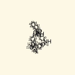 CC(=O)Nc1ccc(O)cc1.CCC(=O)O[C@](Cc1ccccc1)(c1ccccc1)[C@H](C)CN(C)C.O=S(=O)(O)c1ccc2ccccc2c1